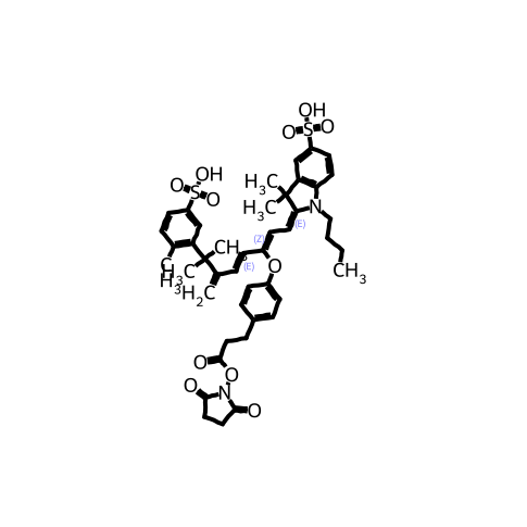 C=C(/C=C/C(=C/C=C1/N(CCCC)c2ccc(S(=O)(=O)O)cc2C1(C)C)Oc1ccc(CCC(=O)ON2C(=O)CCC2=O)cc1)C(C)(C)c1cc(S(=O)(=O)O)ccc1C